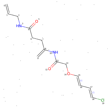 C=CCNC(=O)CCC(=C)NC(=O)CO/C=C/C=C/Cl